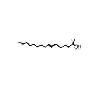 CCCCCCCC/C=C/CCCCC(=O)O